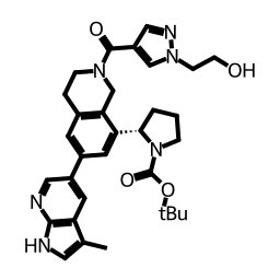 Cc1c[nH]c2ncc(-c3cc4c(c([C@@H]5CCCN5C(=O)OC(C)(C)C)c3)CN(C(=O)c3cnn(CCO)c3)CC4)cc12